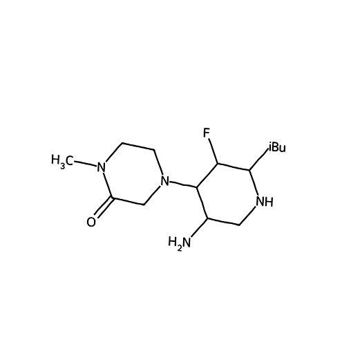 CCC(C)C1NCC(N)C(N2CCN(C)C(=O)C2)C1F